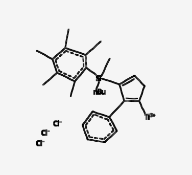 CCCC[Si](C)(C1=CC[C]([Ti+3])=C1c1ccccc1)c1c(C)c(C)c(C)c(C)c1C.[Cl-].[Cl-].[Cl-]